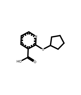 O=C(O)c1cccnc1SC1CCCC1